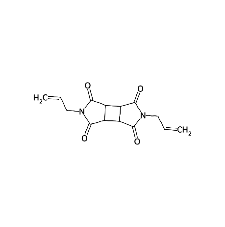 C=CCN1C(=O)C2C(C1=O)C1C(=O)N(CC=C)C(=O)C21